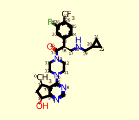 C[C@@H]1C[C@H](O)c2ncnc(N3CCN(C(=O)[C@H](CNCC4CC4)c4ccc(C(F)(F)F)c(F)c4)CC3)c21